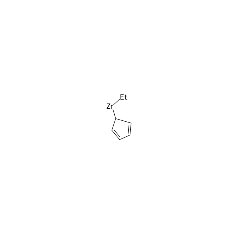 C[CH2][Zr][CH]1C=CC=C1